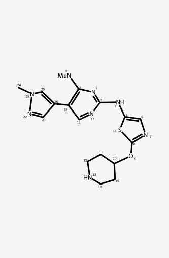 CNc1nc(Nc2cnc(OC3CCNCC3)s2)ncc1-c1cnn(C)c1